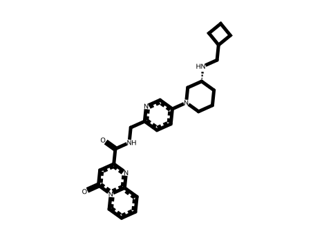 O=C(NCc1ccc(N2CCC[C@@H](NCC3CCC3)C2)cn1)c1cc(=O)n2ccccc2n1